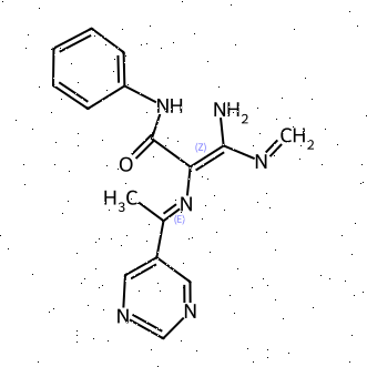 C=N/C(N)=C(\N=C(/C)c1cncnc1)C(=O)Nc1ccccc1